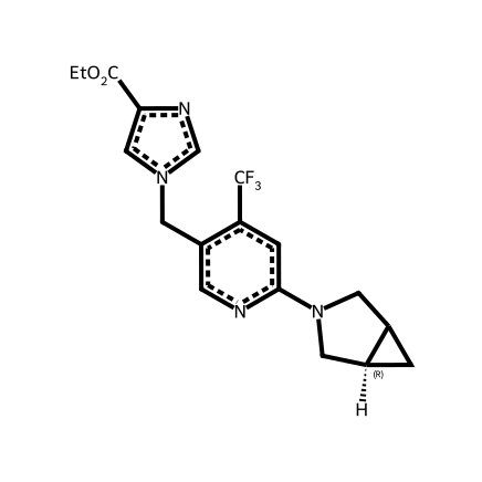 CCOC(=O)c1cn(Cc2cnc(N3CC4C[C@H]4C3)cc2C(F)(F)F)cn1